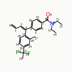 C=C/C=C(/c1ccc(C(=O)N(CC)CC)cc1)c1ccc(C(C)(F)F)cc1C